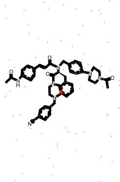 CC(=O)Nc1ccc(/C=C/C(=O)N(Cc2ccc(N3CCN(C(C)=O)CC3)cc2)[C@@H](Cc2ccccc2)C(=O)N2CCN(Cc3ccc(C#N)cc3)CC2)cc1